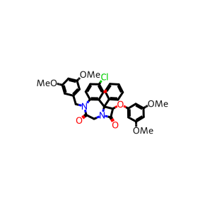 COc1cc(CN2C(=O)CN3C(=O)C(Oc4cc(OC)cc(OC)c4)C3(c3ccccc3)c3cc(Cl)ccc32)cc(OC)c1